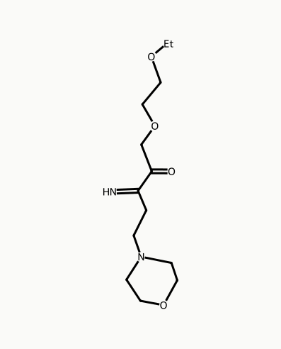 [CH2]COCCOCC(=O)C(=N)CCN1CCOCC1